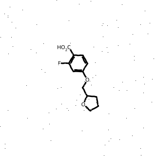 O=C(O)c1ccc(OCC2CCCO2)cc1F